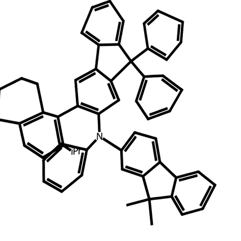 CC(C)c1ccc2c(c1-c1cc3c(cc1N(c1ccccc1)c1ccc4c(c1)C(C)(C)c1ccccc1-4)C(c1ccccc1)(c1ccccc1)c1ccccc1-3)CCCC2